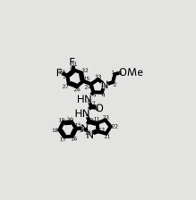 COCCN1CC(NC(=O)Nc2c3c(nn2-c2ccccc2)CCC3)C(c2ccc(F)c(F)c2)C1